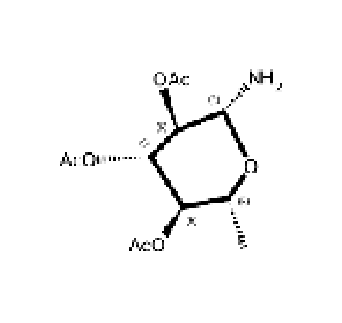 CC(=O)O[C@@H]1[C@@H](OC(C)=O)[C@H](N)O[C@H](C)[C@H]1OC(C)=O